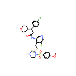 COc1ccc(S(=O)(=O)N2CCNC[C@@H]2CCc2c(F)cncc2NC(=O)CC(c2ccc(Cl)cc2)C2CCOCC2)cc1